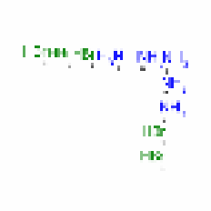 Br.Br.Br.Br.Br.N.N.N.N.N